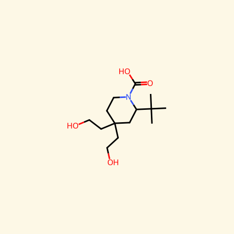 CC(C)(C)C1CC(CCO)(CCO)CCN1C(=O)O